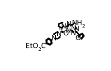 CCOC(=O)c1ccc(N2CCN(C(=O)[C@@H]3CCCN3c3nc(N)n4nc(-c5ccco5)nc4n3)CC2)cc1